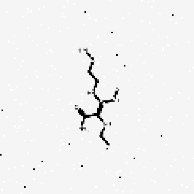 CCN/C(C(N)=O)=C(\NC)NCCCN